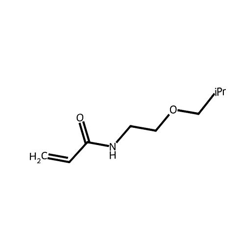 C=CC(=O)NCCOCC(C)C